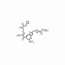 CCCN(OCCNC(=O)OC1CCC1)C(=O)C1=Cc2sc(CC3CN(C(=O)OC(C)(C)C)C3)cc2N=C(N)C1